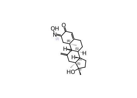 C=C1C[C@@]2(C)[C@@H](CC[C@]2(C)O)[C@@H]2CCC3=CC(=O)/C(=N\O)C[C@]3(C)[C@@H]12